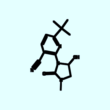 CN1CC(O)N(c2nc(C(C)(C)C)ccc2C#N)C1=O